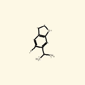 CC(C)c1cc2c(cc1F)CCO2